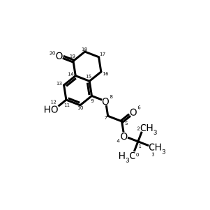 CC(C)(C)OC(=O)COc1cc(O)cc2c1CCCC2=O